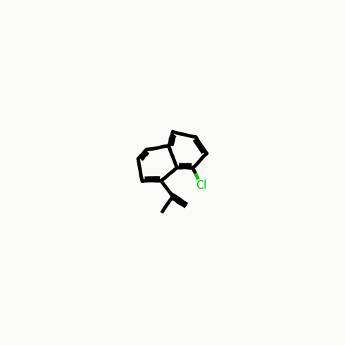 C=C(C)c1cccc2cccc(Cl)c12